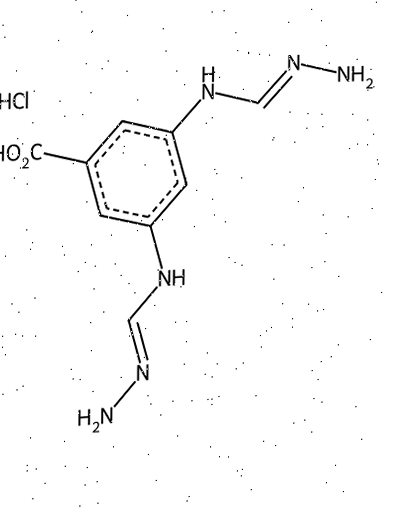 Cl.NN=CNc1cc(NC=NN)cc(C(=O)O)c1